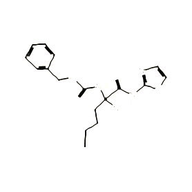 CCCCC(N)(NC(=O)OCc1ccccc1)C(=O)Nc1nccs1